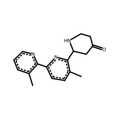 Cc1cccnc1-c1ccc(C)c(C2CC(=O)CCN2)n1